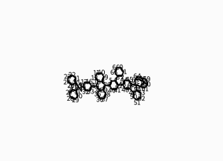 c1ccc(-c2cc(-c3c4ccccc4c(-c4ccc(-n5c6ccccc6c6ccccc65)cc4)c4ccccc34)ccc2-c2ccc3c(c2)-c2ccccc2C32C3CC4CC(C3)CC2C4)cc1